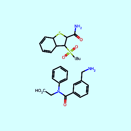 CC(C)(C)S(=O)(=O)C1C(C(N)=O)SC2C=CC=CC21.NCc1cccc(C(=O)N(CC(=O)O)c2ccccc2)c1